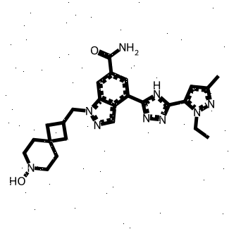 CCn1nc(C)cc1-c1nnc(-c2cc(C(N)=O)cc3c2cnn3CC2CC3(CCN(O)CC3)C2)[nH]1